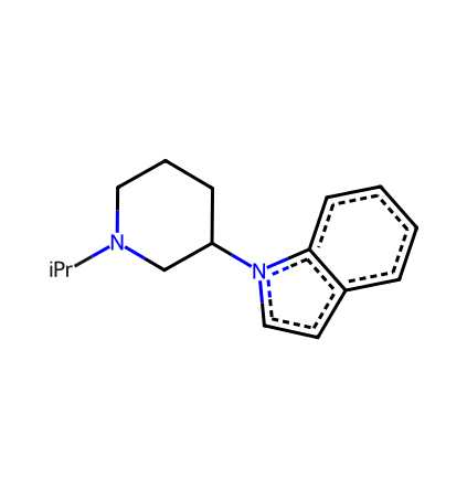 CC(C)N1CCCC(n2ccc3ccccc32)C1